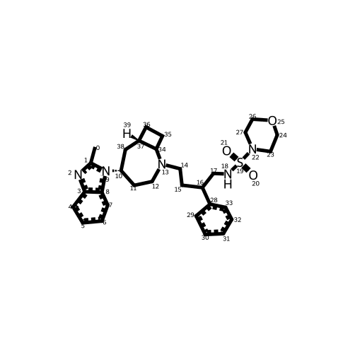 Cc1nc2ccccc2n1[C@H]1CCN(CCC(CNS(=O)(=O)N2CCOCC2)c2ccccc2)C2CC[C@H]2C1